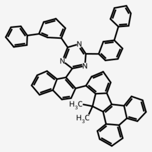 CC1(C)c2c(-c3ccc4ccccc4c3-c3nc(-c4cccc(-c5ccccc5)c4)nc(-c4cccc(-c5ccccc5)c4)n3)cccc2-c2c1c1ccccc1c1ccccc21